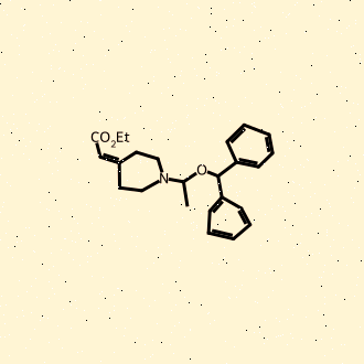 CCOC(=O)C=C1CCN(C(C)OC(c2ccccc2)c2ccccc2)CC1